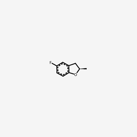 C[C@@H]1Cc2cc(F)ccc2O1